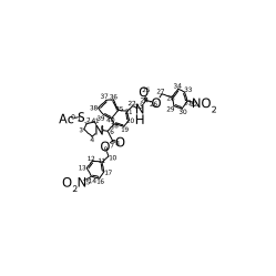 CC(=O)S[C@H]1CCN(C(C(=O)OCc2ccc([N+](=O)[O-])cc2)c2ccc(CNC(=O)OCc3ccc([N+](=O)[O-])cc3)c3ccccc23)C1